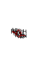 CCC(C)NCCC(=O)Nc1sc2c(c1-c1nc3cc(F)ccc3s1)CCN(C(C)CCC(C)N1CCc3c(sc(NC(=O)CCNC(C)(C)C)c3-c3nc4ccccc4s3)C1)C2